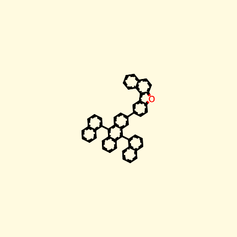 c1ccc2c(-c3c4ccccc4c(-c4cccc5ccccc45)c4cc(-c5ccc6oc7ccc8ccccc8c7c6c5)ccc34)cccc2c1